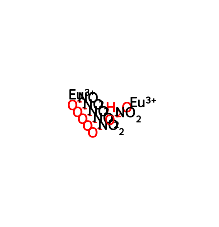 O.O=[N+]([O-])[O-].O=[N+]([O-])[O-].O=[N+]([O-])[O-].O=[N+]([O-])[O-].O=[N+]([O-])[O-].O=[N+]([O-])[O-].[Eu+3].[Eu+3]